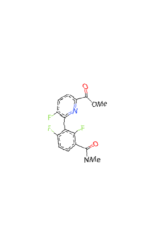 CNC(=O)c1ccc(F)c(-c2nc(C(=O)OC)ccc2F)c1F